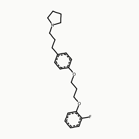 Fc1ccccc1OCCCOc1ccc(CCCN2CCCC2)cc1